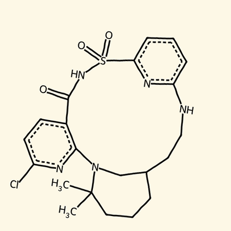 CC1(C)CCCC2CCNc3cccc(n3)S(=O)(=O)NC(=O)c3ccc(Cl)nc3N1C2